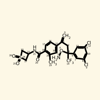 C=C(CC(ON)(c1cc(Cl)cc(Cl)c1)C(F)(F)F)c1ccc(C(=O)NC2CS(=O)(=O)C2)c(C)c1